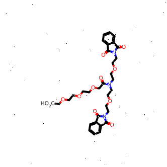 O=C(O)COCCOCCOCC(=O)N(CCOCCN1C(=O)c2ccccc2C1=O)CCOCCN1C(=O)c2ccccc2C1=O